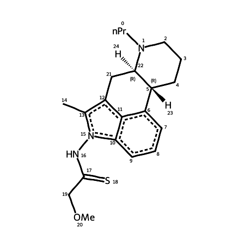 CCCN1CCC[C@@H]2c3cccc4c3c(c(C)n4NC(=S)COC)C[C@H]21